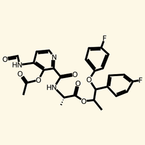 CC(=O)Oc1c(NC=O)ccnc1C(=O)N[C@@H](C)C(=O)OC(C)C(Oc1ccc(F)cc1)c1ccc(F)cc1